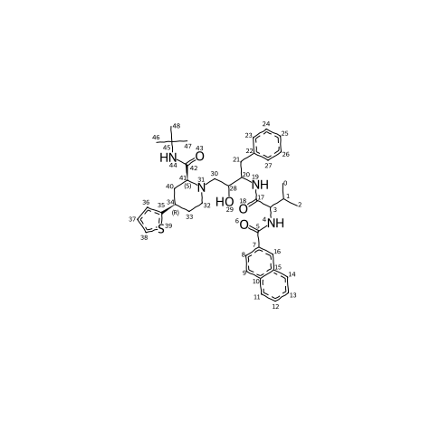 CC(C)C(NC(=O)c1ccc2ccccc2c1)C(=O)NC(Cc1ccccc1)C(O)CN1CC[C@@H](c2cccs2)C[C@H]1C(=O)NC(C)(C)C